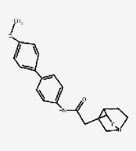 COc1ccc(-c2ccc(NC(=O)CC3CN4CCC3CC4)cc2)cc1